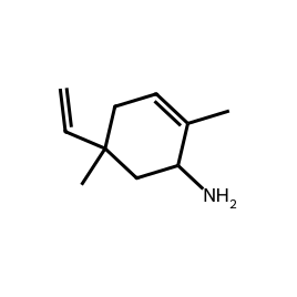 C=CC1(C)CC=C(C)C(N)C1